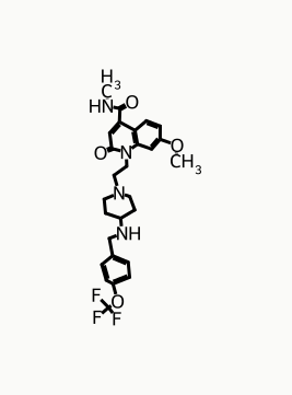 CNC(=O)c1cc(=O)n(CCN2CCC(NCc3ccc(OC(F)(F)F)cc3)CC2)c2cc(OC)ccc12